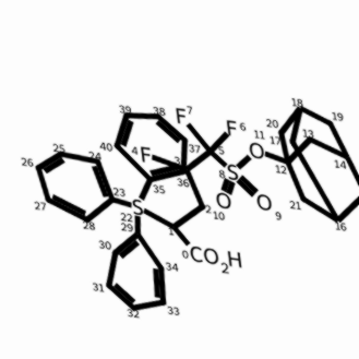 O=C(O)C(CC(F)C(F)(F)S(=O)(=O)OC12CC3CC(CC(C3)C1)C2)S(c1ccccc1)(c1ccccc1)c1ccccc1